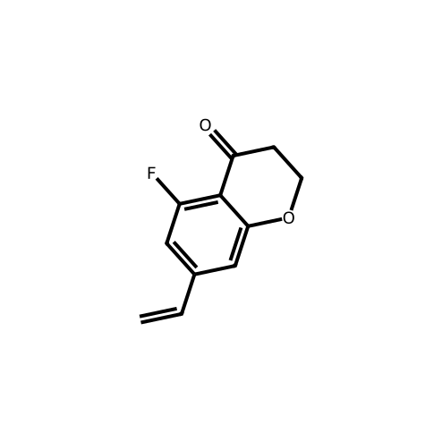 C=Cc1cc(F)c2c(c1)OCCC2=O